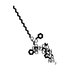 CCCCCCCCCCCCCCCCCCOC[C@H](COP(=O)(OC[C@H]1O[C@@](C#N)(c2ccc3c(N)ncnn23)[C@@H]2OC(C)(C)O[C@@H]21)Oc1ccccc1Cl)OCc1ccccc1